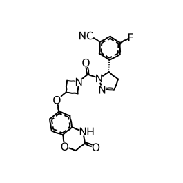 N#Cc1cc(F)cc([C@@H]2CC=NN2C(=O)N2CC(Oc3ccc4c(c3)NC(=O)CO4)C2)c1